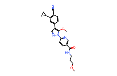 COCCCNC(=O)c1ccc(-n2ncc(-c3ccc(C#N)c(C4CC4)c3)c2OC)nc1